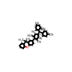 CC1(C)c2ccccc2Oc2ccc(-c3c(C#N)cc(C(c4c(C#N)cc(C#N)cc4C#N)c4c(C#N)cc(C#N)cc4C#N)cc3C#N)cc21